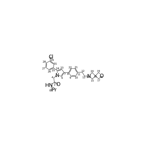 CC(C)NC(=O)Cn1cc(-c2ccc(CCN3CC4(COC4)C3)cc2)cc1-c1cccc(Cl)c1